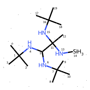 CC(C)(C)NC(NC(C)(C)C)C(C)(N[SiH3])NC(C)(C)C